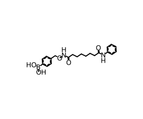 O=C(CCCCCCC(=O)Nc1ccccc1)NOCc1ccc(B(O)O)cc1